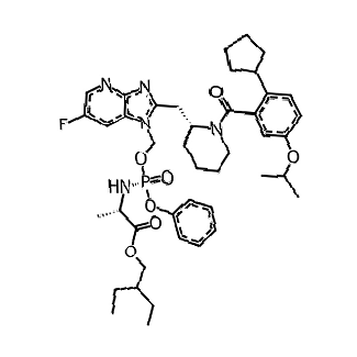 CCC(CC)COC(=O)[C@H](C)N[P@@](=O)(OCn1c(C[C@H]2CCCCN2C(=O)c2cc(OC(C)C)ccc2C2CCCC2)nc2ncc(F)cc21)Oc1ccccc1